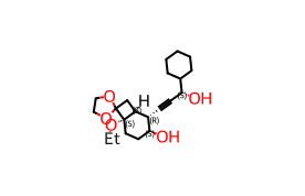 CCO[C@@]12CC[C@H](O)[C@@H](C#C[C@@H](O)C3CCCCC3)[C@@H]1CC21OCCO1